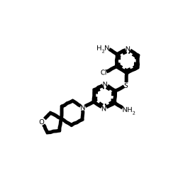 Nc1nc(N2CCC3(CCOC3)CC2)cnc1Sc1ccnc(N)c1Cl